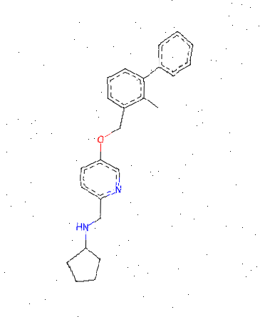 Cc1c(COc2ccc(CNC3CCCC3)nc2)cccc1-c1ccccc1